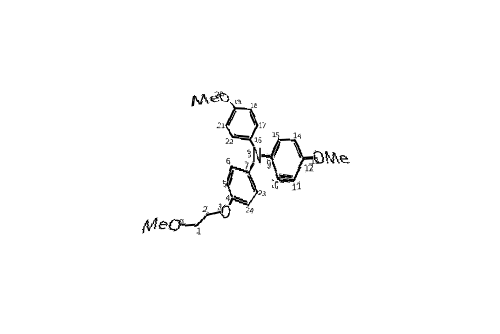 COCCOc1ccc(N(c2ccc(OC)cc2)c2ccc(OC)cc2)cc1